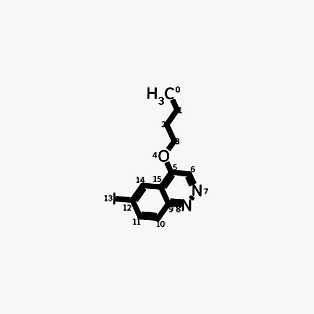 CCCCOc1cnnc2ccc(I)cc12